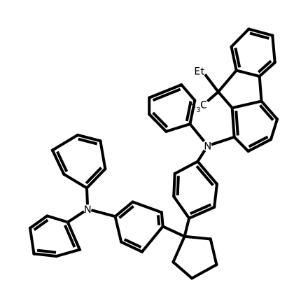 CCC1(C)c2ccccc2-c2cccc(N(c3ccccc3)c3ccc(C4(c5ccc(N(c6ccccc6)c6ccccc6)cc5)CCCC4)cc3)c21